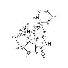 O=C1Nc2ccccc2C12COc1ccc3c(c12)N(Cc1ccccn1)ON3